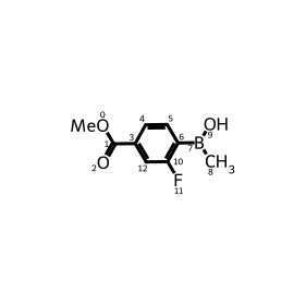 COC(=O)c1ccc(B(C)O)c(F)c1